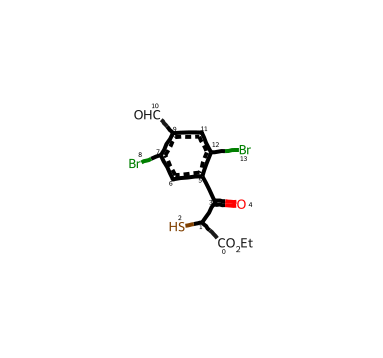 CCOC(=O)C(S)C(=O)c1cc(Br)c(C=O)cc1Br